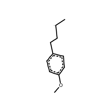 C[CH]CCc1ccc(OC)cc1